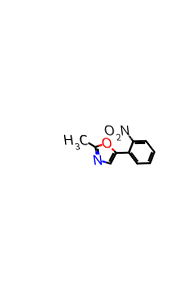 Cc1ncc(-c2ccccc2[N+](=O)[O-])o1